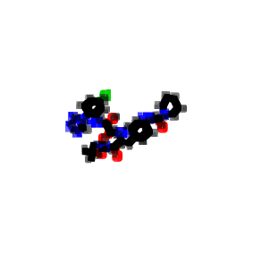 CC(C)(C)ONC(=O)[C@H](Cc1ccc(NC(=O)N2CCCCC2)cc1)NC(=O)C(=O)Nc1cc(Cl)ccc1-n1cnnn1